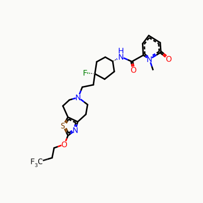 Cn1c(C(=O)N[C@H]2CC[C@](F)(CCN3CCc4nc(OCCC(F)(F)F)sc4CC3)CC2)cccc1=O